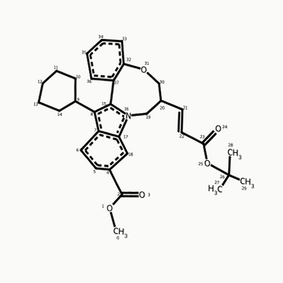 COC(=O)c1ccc2c(C3CCCCC3)c3n(c2c1)CC(C=CC(=O)OC(C)(C)C)COc1ccccc1-3